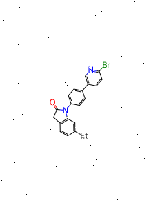 CCc1ccc2c(c1)N(c1ccc(-c3ccc(Br)nc3)cc1)C(=O)C2